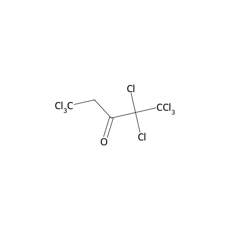 O=C(CC(Cl)(Cl)Cl)C(Cl)(Cl)C(Cl)(Cl)Cl